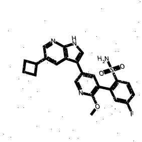 COc1ncc(-c2c[nH]c3ncc(C4CCC4)cc23)cc1-c1cc(F)ccc1S(N)(=O)=O